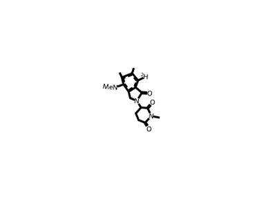 [2H]c1c(C)c(C)c(NC)c2c1C(=O)N(C1CCC(=O)N(C)C1=O)C2